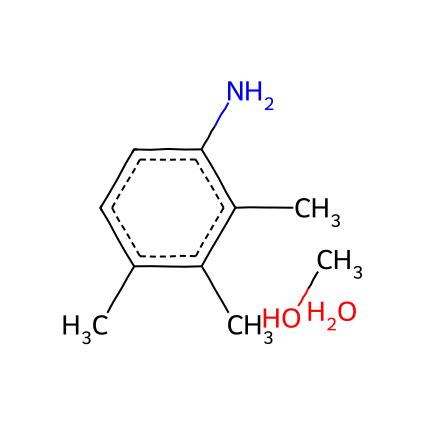 CO.Cc1ccc(N)c(C)c1C.O